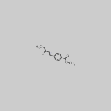 CCC(=O)/C=C/c1ccc(C(=O)OC)cc1